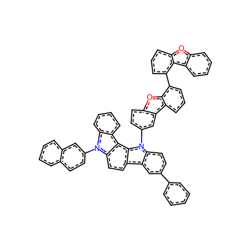 c1ccc(-c2ccc3c(c2)c2ccc4c(c5ccccc5n4-c4ccc5ccccc5c4)c2n3-c2ccc3oc4c(-c5cccc6oc7ccccc7c56)cccc4c3c2)cc1